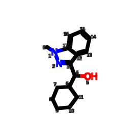 Cn1nc(C(O)C2CCCCC2)c2ccccc21